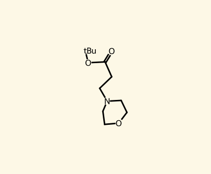 CC(C)(C)OC(=O)CCN1CCOCC1